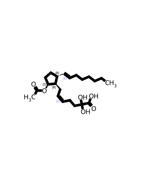 CCCCCC/C=C/[C@H]1CC[C@H](OC(C)=O)[C@@H]1C/C=C\CCC(O)(O)C(=O)O